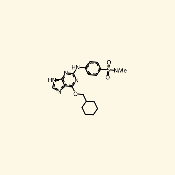 CNS(=O)(=O)c1ccc(Nc2nc(OCC3CCCCC3)c3nc[nH]c3n2)cc1